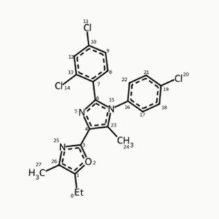 CCc1oc(-c2nc(-c3ccc(Cl)cc3Cl)n(-c3ccc(Cl)cc3)c2C)nc1C